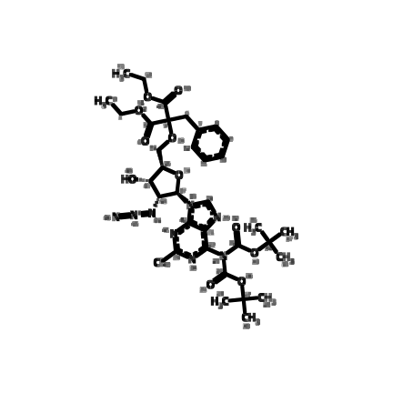 CCOC(=O)C(Cc1ccccc1)(OC[C@H]1O[C@@H](n2cnc3c(N(C(=O)OC(C)(C)C)C(=O)OC(C)(C)C)nc(Cl)nc32)[C@H](N=[N+]=[N-])[C@@H]1O)C(=O)OCC